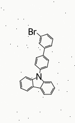 Brc1cccc(-c2ccc(-n3c4ccccc4c4ccccc43)cc2)c1